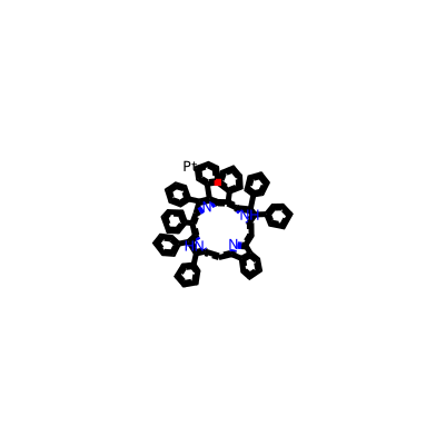 [Pt].c1ccc(C2=C(c3ccccc3)c3nc2c(-c2ccccc2)c2[nH]c(cc4nc(cc5[nH]c(c3-c3ccccc3)c(-c3ccccc3)c5-c3ccccc3)-c3ccccc3-4)c(-c3ccccc3)c2-c2ccccc2)cc1